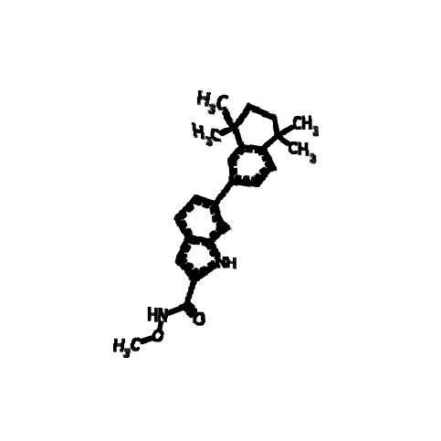 CONC(=O)c1cc2ccc(-c3ccc4c(c3)C(C)(C)CCC4(C)C)cc2[nH]1